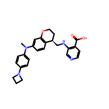 CN(c1ccc(N2CCC2)cc1)c1ccc2c(c1)OCC[C@H]2CNc1cnccc1C(=O)O